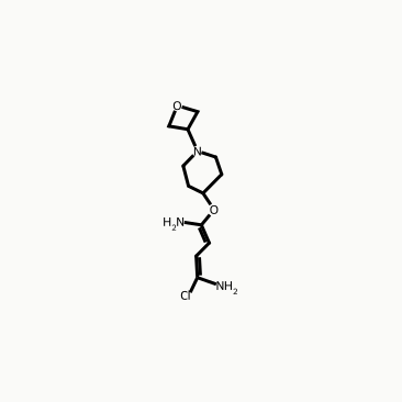 N/C(Cl)=C\C=C(/N)OC1CCN(C2COC2)CC1